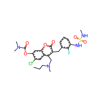 CCCN(C)Cc1c(Cc2cccc(NS(=O)(=O)NC)c2F)c(=O)oc2cc(OC(=O)N(C)C)c(Cl)cc12